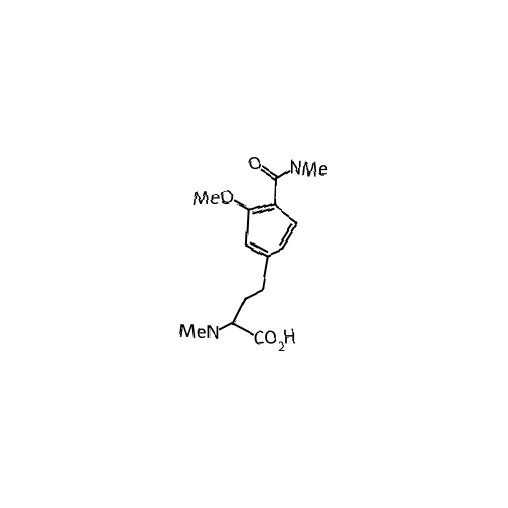 CNC(=O)c1ccc(CCC(NC)C(=O)O)cc1OC